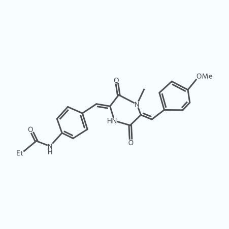 CCC(=O)Nc1ccc(C=c2[nH]c(=O)c(=Cc3ccc(OC)cc3)n(C)c2=O)cc1